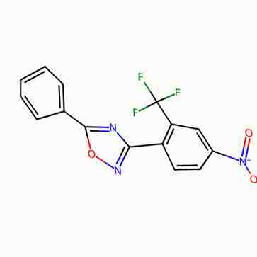 O=[N+]([O-])c1ccc(-c2noc(-c3ccccc3)n2)c(C(F)(F)F)c1